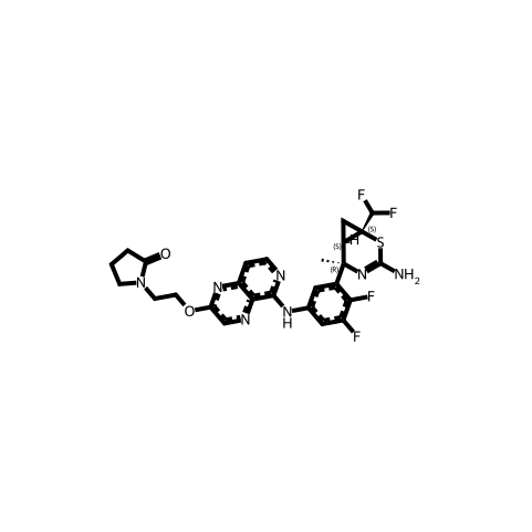 C[C@@]1(c2cc(Nc3nccc4nc(OCCN5CCCC5=O)cnc34)cc(F)c2F)N=C(N)S[C@@]2(C(F)F)C[C@@H]12